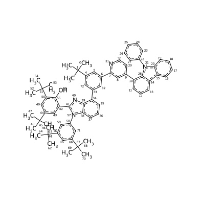 CC(C)(C)c1cc(-c2cc(-c3cccc4c5ccccc5n(-c5ccccc5)c34)ccn2)cc(-c2cccc3c2nc(-c2cc(C(C)(C)C)cc(C(C)(C)C)c2O)n3-c2cc(C(C)(C)C)cc(C(C)(C)C)c2)c1